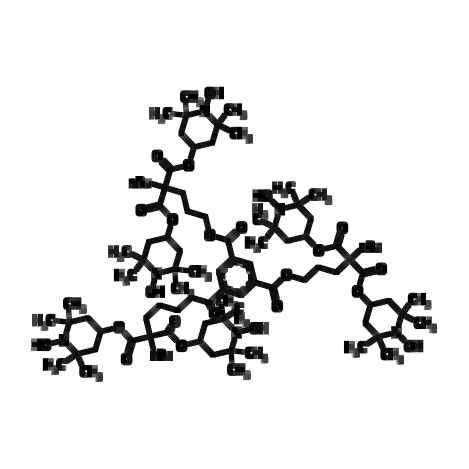 CCCCC(CCCCC(=O)c1cc(C(=O)OCCCC(CCCC)(C(=O)OC2CC(C)(C)N(O)C(C)(C)C2)C(=O)OC2CC(C)(C)N(O)C(C)(C)C2)cc(C(=O)OCCCC(CCCC)(C(=O)OC2CC(C)(C)N(O)C(C)(C)C2)C(=O)OC2CC(C)(C)N(O)C(C)(C)C2)c1)(C(=O)OC1CC(C)(C)N(O)C(C)(C)C1)C(=O)OC1CC(C)(C)N(O)C(C)(C)C1